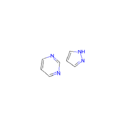 c1cn[nH]c1.c1cncnc1